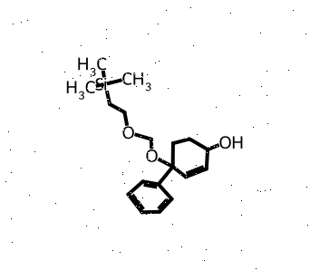 C[Si](C)(C)CCOCOC1(c2ccccc2)C=CC(O)CC1